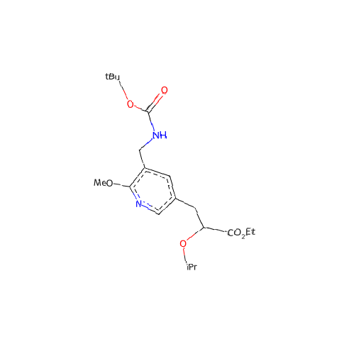 CCOC(=O)C(Cc1cnc(OC)c(CNC(=O)OC(C)(C)C)c1)OC(C)C